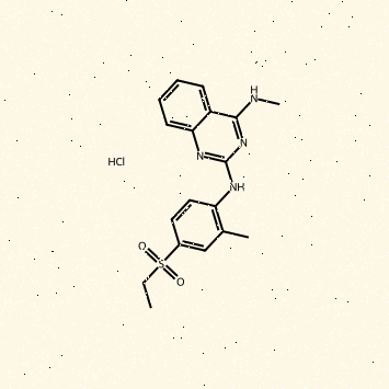 CCS(=O)(=O)c1ccc(Nc2nc(NC)c3ccccc3n2)c(C)c1.Cl